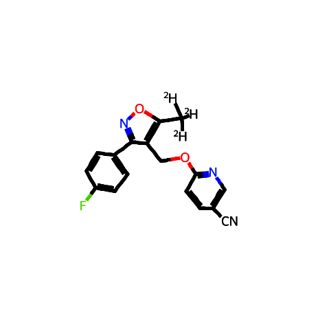 [2H]C([2H])([2H])c1onc(-c2ccc(F)cc2)c1COc1ccc(C#N)cn1